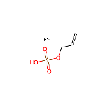 C=CCOS(=O)(=O)O.[Fr]